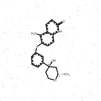 Cc1c(Sc2cccc([C@@]3(O)CCO[C@@H](C)C3)c2)ccc2[nH]c(=O)ccc12